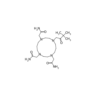 CC(C)(C)C(=O)CN1CCCN(CC(N)=O)CCN(CC(N)=O)CCCN(CC(N)=O)CC1